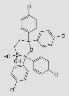 O[Si]1(O)CCC(c2ccc(Cl)cc2)(c2ccc(Cl)cc2)O[Si]1(c1ccc(Cl)cc1)c1ccc(Cl)cc1